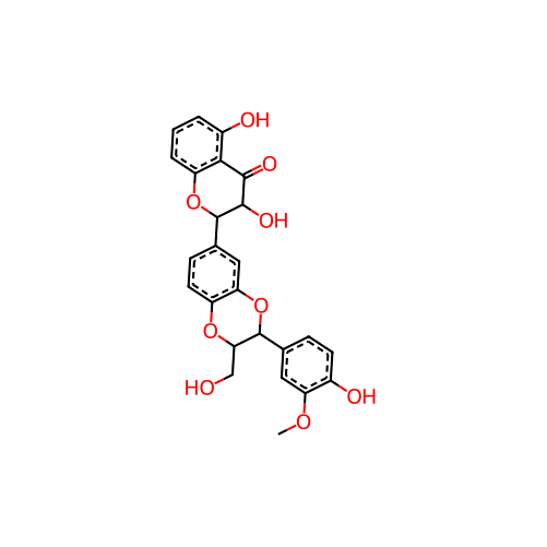 COc1cc(C2Oc3cc(C4Oc5cccc(O)c5C(=O)C4O)ccc3OC2CO)ccc1O